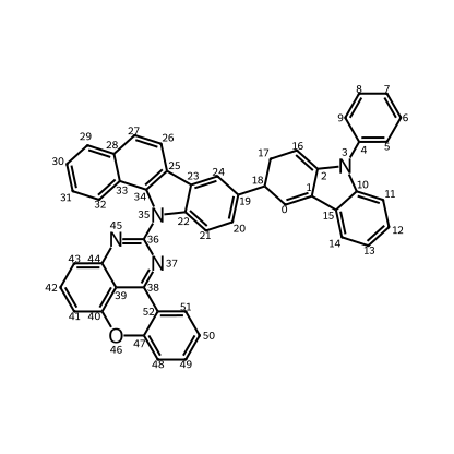 C1=c2c(n(-c3ccccc3)c3ccccc23)=CCC1c1ccc2c(c1)c1ccc3ccccc3c1n2-c1nc2c3c(cccc3n1)Oc1ccccc1-2